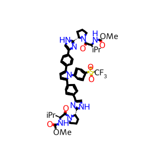 COC(=O)N[C@H](C(=O)N1CCC[C@H]1c1nc(-c2ccc(-c3ccc(-c4ccc(-c5c[nH]c([C@@H]6CCCN6C(=O)[C@@H](NC(=O)OC)C(C)C)n5)cc4)n3-c3ccc(S(=O)(=O)C(F)(F)F)cc3)cc2)c[nH]1)C(C)C